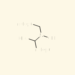 CCCCCCCCN(C)C(C)CCCCCCC